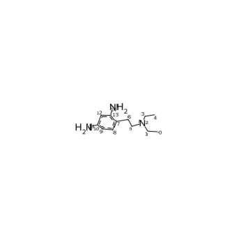 CCN(CC)CCc1ccc(N)cc1N